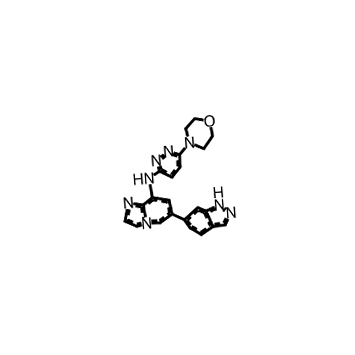 c1cn2cc(-c3ccc4cn[nH]c4c3)cc(Nc3ccc(N4CCOCC4)nn3)c2n1